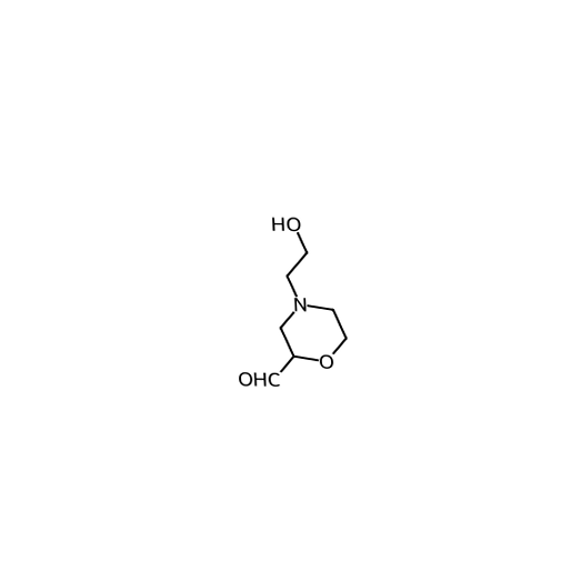 O=CC1CN(CCO)CCO1